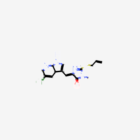 C=CCSC1=N/C(=C\C2=CNC3N=CC(Cl)=CC23)C(=O)N1C